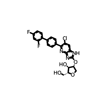 OC[C@H]1OC[C@@H](Oc2nc3nc(-c4ccc(-c5ccc(F)cc5F)cc4)c(Cl)cc3[nH]2)[C@@H]1O